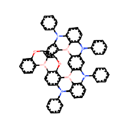 c1ccc(N2c3ccccc3B3c4cc5c(cc4N(c4ccccc4)c4cccc2c43)N(c2ccccc2)c2cccc3c2B5c2c(ccc4c2Oc2cccc5c2B4c2ccccc2O5)N3c2ccccc2)cc1